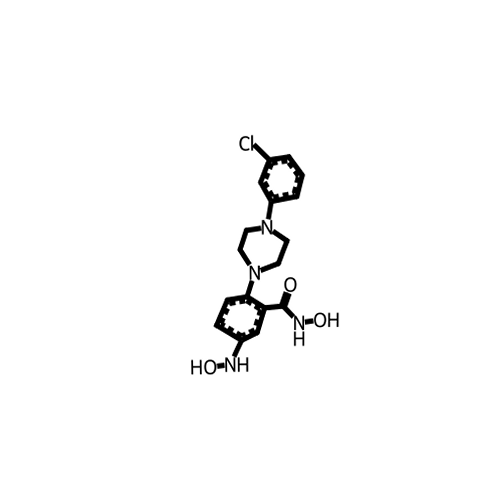 O=C(NO)c1cc(NO)ccc1N1CCN(c2cccc(Cl)c2)CC1